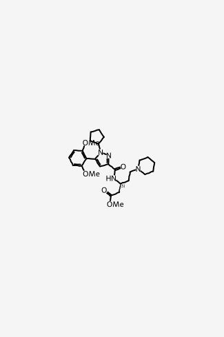 COC(=O)C[C@H](CCN1CCCCC1)NC(=O)c1cc(-c2c(OC)cccc2OC)n(C2CCCC2)n1